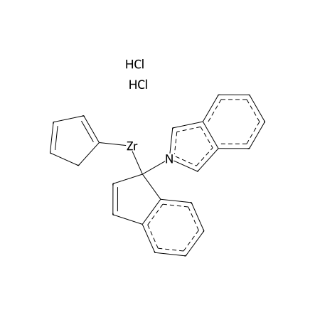 C1=CC[C]([Zr][C]2(n3cc4ccccc4c3)C=Cc3ccccc32)=C1.Cl.Cl